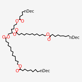 CCCCCCCCCCCCCCCCCC(=O)OCCCCCCCCCCCC(=O)OCC(CCCCOC(=O)CCCCCCCCCCCCC)OC(=O)CCCCCCCCCCCOC(=O)CCCCCCCCCCCCCCCCC